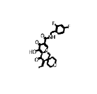 C/C=C1\C(=O)c2c(O)c(=O)c(C(=O)NCc3ccc(F)cc3F)cn2CC12CCOCC2